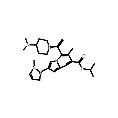 C=C(c1c(C)c(C(=O)OC(C)C)cc2cc(N3CC=CN3C)cn12)N1CCC(N(C)C)CC1